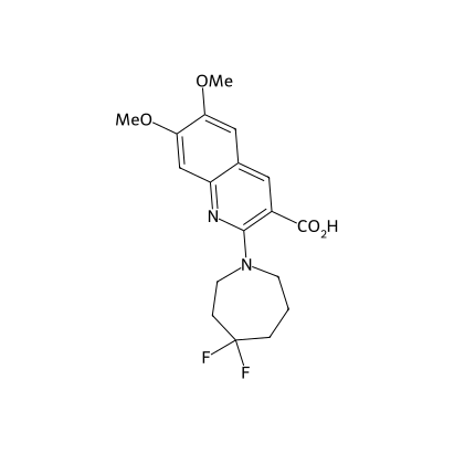 COc1cc2cc(C(=O)O)c(N3CCCC(F)(F)CC3)nc2cc1OC